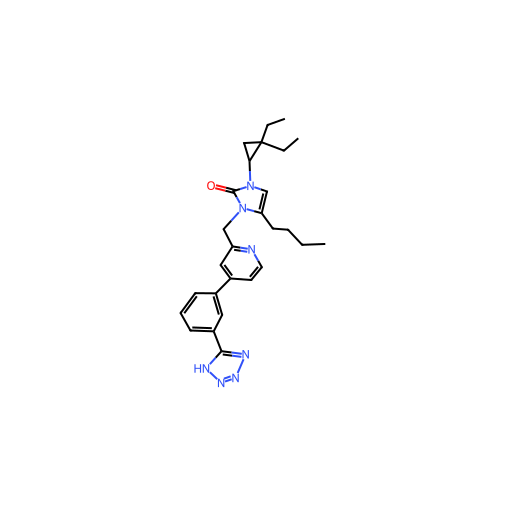 CCCCc1cn(C2CC2(CC)CC)c(=O)n1Cc1cc(-c2cccc(-c3nnn[nH]3)c2)ccn1